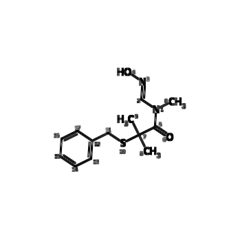 CN(C=NO)C(=O)C(C)(C)SCc1ccccc1